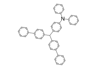 c1ccc(-c2ccc(C(c3ccc(-c4ccccc4)cc3)c3ccc(N(c4ccccc4)c4ccccc4)cc3)cc2)cc1